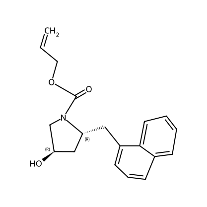 C=CCOC(=O)N1C[C@H](O)C[C@H]1Cc1cccc2ccccc12